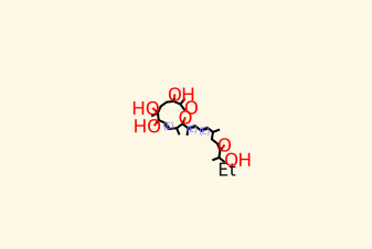 CCC(O)C(C)C1OC1CC(C)/C=C/C=C(\C)C1OC(=O)C(C)C(O)CCC(C)(O)C(O)/C=C/C1C